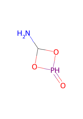 NC1O[PH](=O)O1